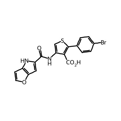 O=C(Nc1csc(-c2ccc(Br)cc2)c1C(=O)O)c1cc2occc2[nH]1